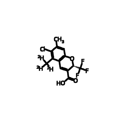 [2H]C([2H])([2H])c1c(Cl)c(C)cc2c1C=C(C(=O)O)[C@@H](C(F)(F)F)O2